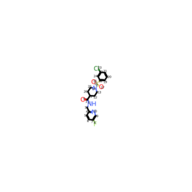 O=C(NCc1ccc(F)cn1)C1CCN(S(=O)(=O)c2cccc(Cl)c2)CC1